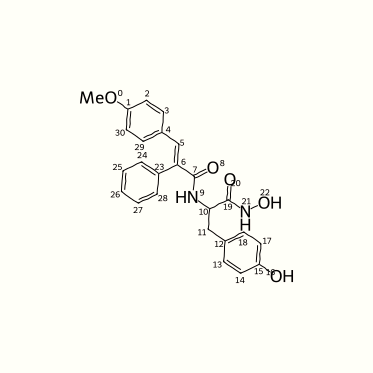 COc1ccc(C=C(C(=O)NC(Cc2ccc(O)cc2)C(=O)NO)c2ccccc2)cc1